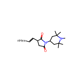 CCCCCC/C=C/C1CC(=O)N(C2CC(C)(C)N(C)C(C)(C)C2)C1=O